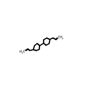 C=CCC1CC[C](C2CCC(CC=C)CC2)CC1